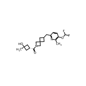 Cc1nc(CC2CC3(C2)CN(C(=O)[C@H]2C[C@@](C)(O)C2)C3)ccc1OC(F)F